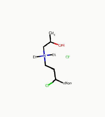 CCCCCCCCCC(Cl)CC[N+](CC)(CC)CC(C)O.[Cl-]